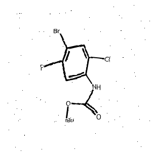 CC(C)(C)OC(=O)Nc1cc(F)c(Br)cc1Cl